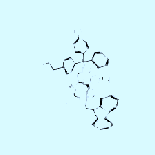 CCCc1ccc(C(OC[C@@H](C(=O)O)N(C)C(=O)OCC2c3ccccc3-c3ccccc32)(c2ccccc2)c2ccc(OC)cc2)cc1